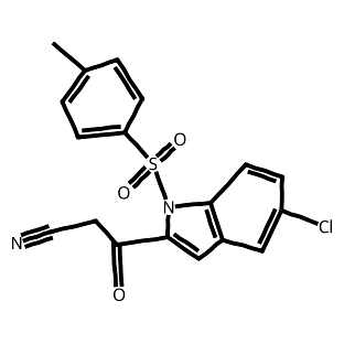 Cc1ccc(S(=O)(=O)n2c(C(=O)CC#N)cc3cc(Cl)ccc32)cc1